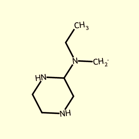 [CH2]N(CC)C1CNCCN1